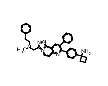 CN(CCc1ccccc1)Cc1nnc2c3cc(-c4ccccc4)c(-c4ccc(C5(N)CCC5)cc4)nc3ccn12